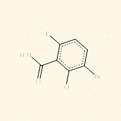 NC(=O)c1c(F)ccc(Br)c1Cl